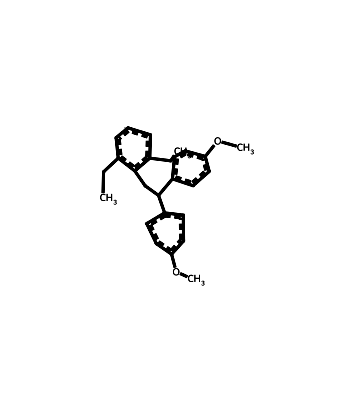 CCc1c[c]cc(CC)c1CC(c1ccc(OC)cc1)c1ccc(OC)cc1